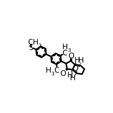 CSc1ccc(-c2cc(C)c(C3C(=O)[C@@H]4[C@H](C3=O)[C@H]3CC[C@@H]4O3)c(C)c2)cc1